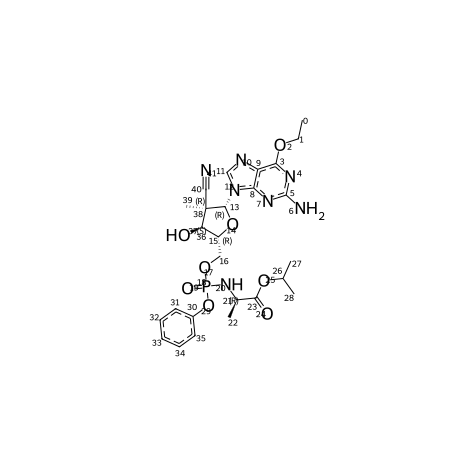 CCOc1nc(N)nc2c1ncn2[C@@H]1O[C@H](COP(=O)(N[C@H](C)C(=O)OC(C)C)Oc2ccccc2)[C@@H](O)[C@@]1(C)C#N